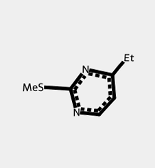 [CH2]Cc1ccnc(SC)n1